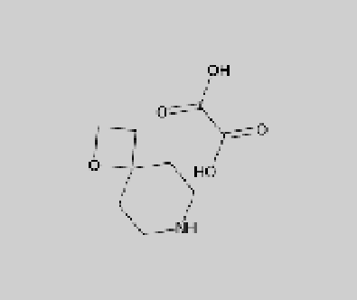 C1CC2(CCN1)CCO2.O=C(O)C(=O)O